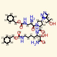 CC(C)(O)c1cnnn1[C@H]1C[C@@H](C(=O)NC(CCCCNC(=O)OCc2ccccc2)C(O)C(N)=O)N(C(=O)[C@H](N)CNC(=O)OCc2ccccc2)C1